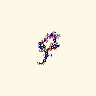 CCC(CC)n1nnc2c1-c1ccccc1CN(C(=O)CCC(=O)NCC(=O)NCC(=O)N[C@H](C(=O)N[C@@H](C)C(=O)Nc1ccc(COC(=O)N3c4cc(OCCCOc5cc6c(cc5OC)C(=O)N5C=C(c7ccc(OC)cc7)CC5CN6)c(OC)cc4C(=O)N4CC5(CC5)CC4[C@@H]3C)cc1)C(C)C)c1ccccc1-2